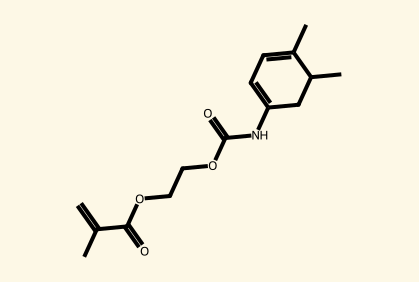 C=C(C)C(=O)OCCOC(=O)NC1=CC=C(C)C(C)C1